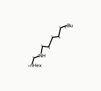 CCCCCCCNCCCCCC(C)CC